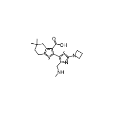 CNCc1nc(N2CCC2)sc1-c1sc2c(c1C(=O)O)CC(C)(C)CC2